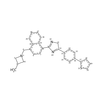 CC1CN(Cc2ccc(C3=NCC(c4ccc(-c5cccs5)cc4)=N3)c3ccccc23)C1